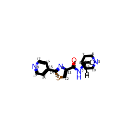 O=C(N[C@H]1CN2CCC1CC2)c1csc(-c2ccncc2)n1